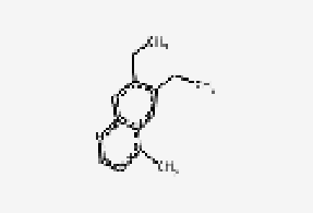 CCc1cc2nccc(C)c2cc1CC